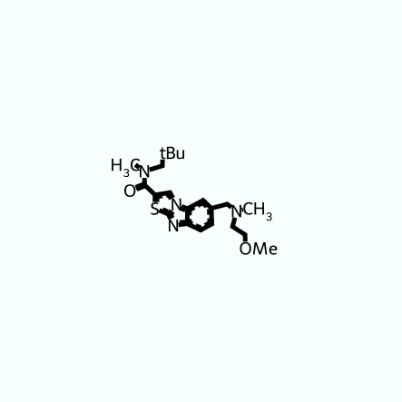 COCCN(C)Cc1ccc2nc3sc(C(=O)N(C)CC(C)(C)C)cn3c2c1